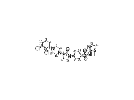 O=C1[C@@H](N2CCN(c3cccc(Cl)c3Cl)CC2)CCN1c1ccc(S(=O)(=O)Nc2nccs2)cc1